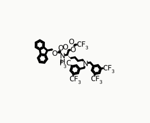 O=C(N[C@@H](CCCCN(Cc1cc(C(F)(F)F)cc(C(F)(F)F)c1)Cc1cc(C(F)(F)F)cc(C(F)(F)F)c1)C(=O)OC(=O)C(F)(F)F)OCC1c2ccccc2-c2ccccc21